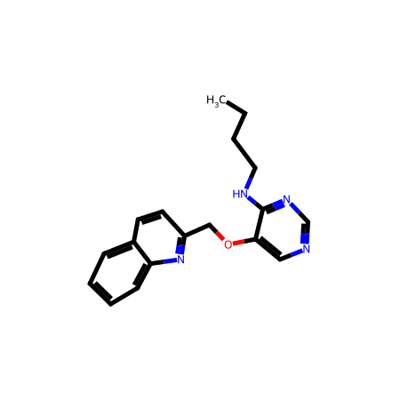 CCCCNc1ncncc1OCc1ccc2ccccc2n1